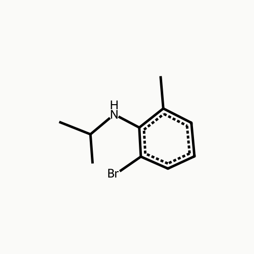 Cc1cccc(Br)c1NC(C)C